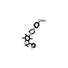 COc1ccc(N2CCN(c3c(C)c(C)c4c(c3C)C(c3cccs3)C(C)(C)O4)CC2)cc1